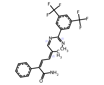 C\N=C(/N=C\C(C)=C/C=C(C(N)=O)c1ccccc1)c1cc(C(F)(F)F)cc(C(F)(F)F)c1